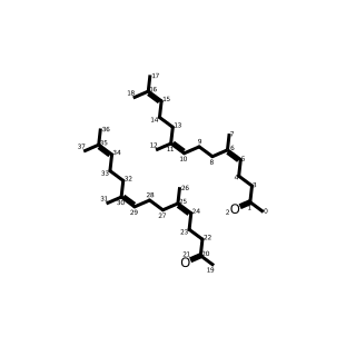 CC(=O)CCC=C(C)CCC=C(C)CCC=C(C)C.CC(=O)CCC=C(C)CCC=C(C)CCC=C(C)C